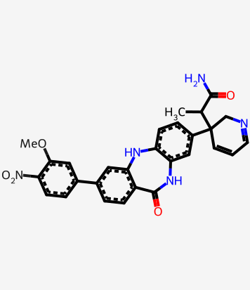 COc1cc(-c2ccc3c(c2)Nc2ccc(C4(C(C)C(N)=O)C=CC=NC4)cc2NC3=O)ccc1[N+](=O)[O-]